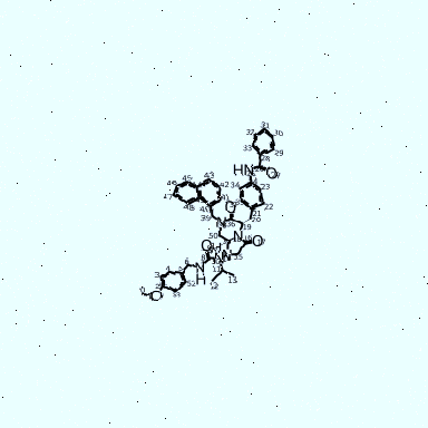 COc1ccc(CNC(=O)N(C(C)C)N2CC(=O)N3[C@@H](Cc4ccc(NC(=O)c5ccccc5)cc4)C(=O)N(Cc4cccc5ccccc45)C[C@@H]32)cc1